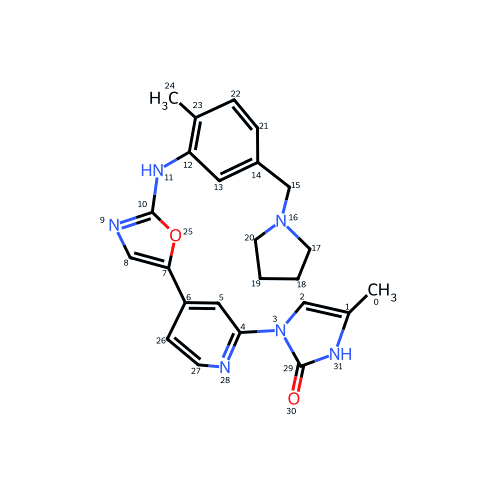 Cc1cn(-c2cc(-c3cnc(Nc4cc(CN5CCCC5)ccc4C)o3)ccn2)c(=O)[nH]1